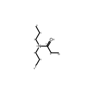 CCCN(CCI)C(=O)CC